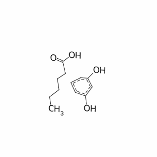 CCCCCC(=O)O.Oc1cccc(O)c1